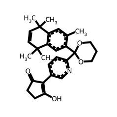 Cc1cc2c(cc1C1(c3ccc(C4=C(O)CCC4=O)cn3)OCCCO1)C(C)(C)C=CC2(C)C